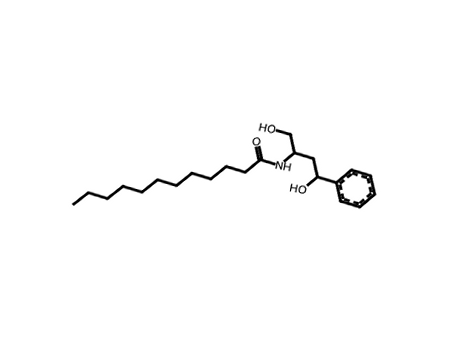 CCCCCCCCCCCC(=O)NC(CO)CC(O)c1ccccc1